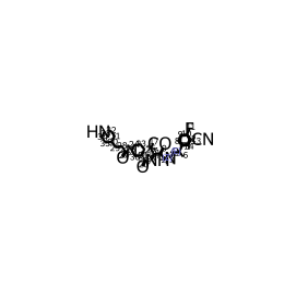 C=C(/C=N\C=C(/C)c1ccc(F)c(C#N)c1)[C@H](CC(=O)O)NC(=O)[C@@H]1CCCN(C(=O)CCC2CCNCC2)C1